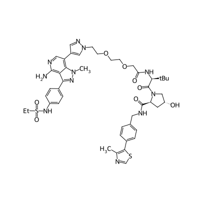 CCS(=O)(=O)Nc1ccc(-c2nn(C)c3c(-c4cnn(CCOCCOCC(=O)N[C@H](C(=O)N5C[C@H](O)C[C@H]5C(=O)NCc5ccc(-c6scnc6C)cc5)C(C)(C)C)c4)cnc(N)c23)cc1